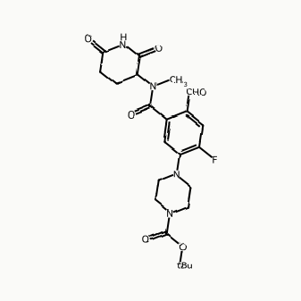 CN(C(=O)c1cc(N2CCN(C(=O)OC(C)(C)C)CC2)c(F)cc1C=O)C1CCC(=O)NC1=O